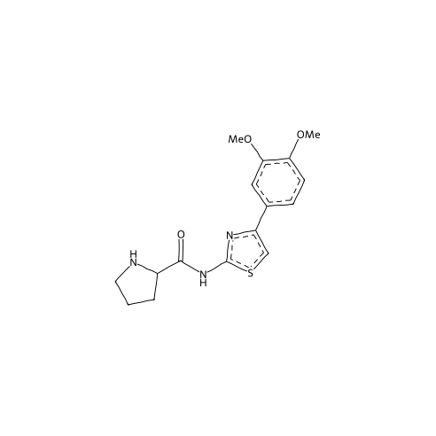 COc1ccc(-c2csc(NC(=O)C3CCCN3)n2)cc1OC